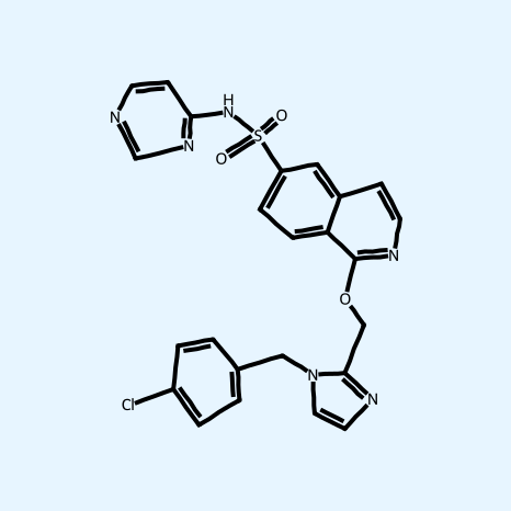 O=S(=O)(Nc1ccncn1)c1ccc2c(OCc3nccn3Cc3ccc(Cl)cc3)nccc2c1